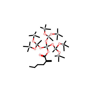 C=C(CCCC)C(=O)O[Si](O[Si](C)(O[Si](C)(C)C)O[Si](C)(C)C)(O[Si](C)(O[Si](C)(C)C)O[Si](C)(C)C)O[Si](C)(O[Si](C)(C)C)O[Si](C)(C)C